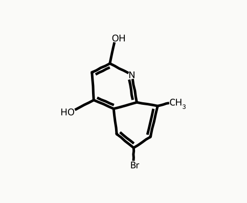 Cc1cc(Br)cc2c(O)cc(O)nc12